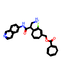 NCC(C(=O)Nc1ccc2cnccc2c1)C1=C(F)C=C(COC(=O)C2=CCC=CC=C2)C=CC1